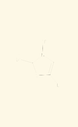 [CH2]CC1=CN(C(F)(F)F)C(Br)S1